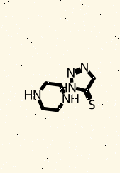 C1CNCCN1.S=C1CN=NN1